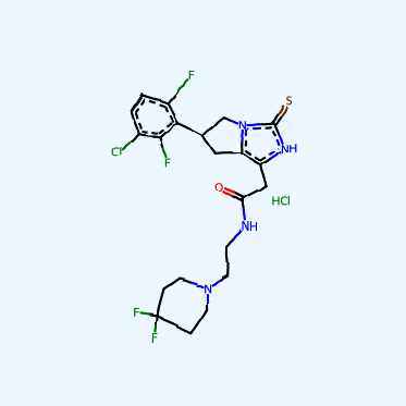 Cl.O=C(Cc1[nH]c(=S)n2c1CC(c1c(F)ccc(Cl)c1F)C2)NCCN1CCC(F)(F)CC1